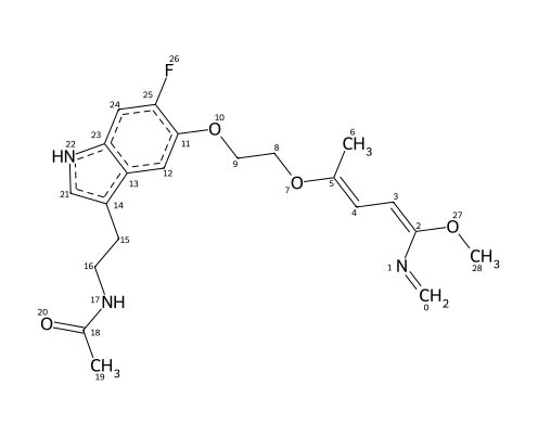 C=N/C(=C\C=C(/C)OCCOc1cc2c(CCNC(C)=O)c[nH]c2cc1F)OC